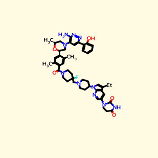 CCc1cn(C2CCN(CC3(F)CCN(C(=O)c4cc(C)c([C@@H]5CN(c6cc(-c7ccccc7O)nnc6N)C[C@H](C)O5)cc4C)CC3)CC2)c2ncc(N3CCC(=O)NC3=O)cc12